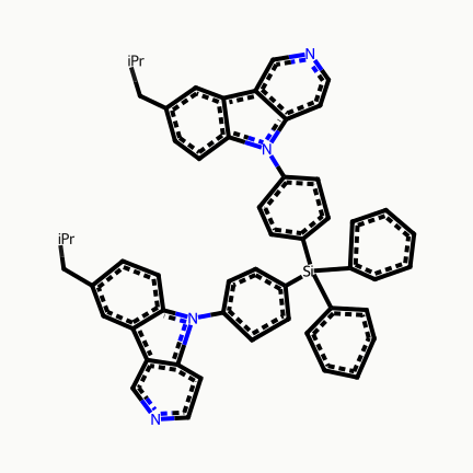 CC(C)Cc1ccc2c(c1)c1cnccc1n2-c1ccc([Si](c2ccccc2)(c2ccccc2)c2ccc(-n3c4ccncc4c4cc(CC(C)C)ccc43)cc2)cc1